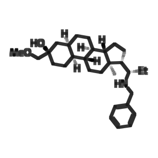 CC[C@H](NCc1ccccc1)[C@H]1CC[C@H]2[C@@H]3CC[C@@H]4C[C@@](O)(COC)CC[C@@H]4[C@H]3CC[C@]12C